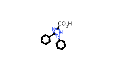 O=C(O)c1nc(-c2ccccc2)n(-c2ccccc2)n1